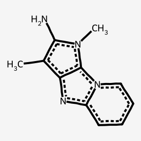 Cc1c(N)n(C)c2c1nc1ccccn12